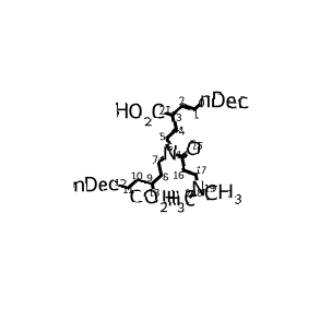 CCCCCCCCCCCCC(CCN(CCC(CCCCCCCCCCCC)C(=O)O)C(=O)CCN(C)C)C(=O)O